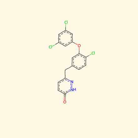 O=c1ccc(Cc2ccc(Cl)c(Oc3cc(Cl)cc(Cl)c3)c2)n[nH]1